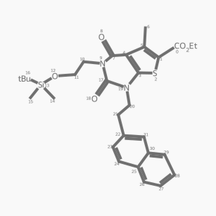 CCOC(=O)c1sc2c(c1C)c(=O)n(CCO[Si](C)(C)C(C)(C)C)c(=O)n2CCc1ccc2ccccc2c1